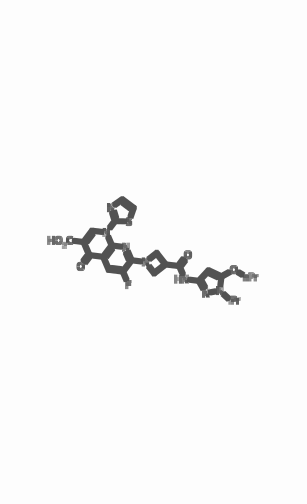 CCCOc1cc(NC(=O)C2CN(c3nc4c(cc3F)c(=O)c(C(=O)O)cn4-c3nccs3)C2)nn1C(C)C